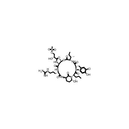 CC[C@H](C)[C@@H]1NC(=O)[C@H](Cc2ccc(O)c(Cl)c2)N(C)C(=O)[C@H]([C@@H](C)CC)N2C(=O)[C@H](CC[C@H]2O)NC(=O)[C@H](CCCNC(=N)N)NC(=O)[C@@H](NC(=O)[C@H](O)COS(C)(=O)=O)[C@@H](C)OC1=O